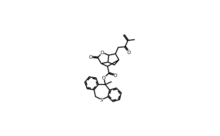 C=C(C)C(=O)CC1C2CC3C1OC(=O)C3C2C(=O)OC1(C)c2ccccc2CSc2ccccc21